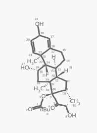 CCCCC(=O)O[C@]1(C(=O)CO)[C@@H](C)C[C@H]2[C@@H]3CCC4=CC(O)C=C[C@]4(C)[C@@]3(F)[C@@H](O)C[C@@]21C